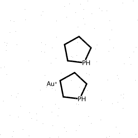 C1CCPC1.C1CCPC1.[Au+]